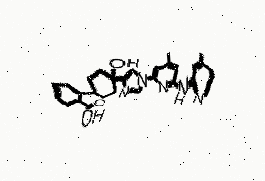 Cc1ccnc(Nc2cc(C)cc(-n3cnc(C4(O)CCC(c5ccccc5C(=O)O)CC4)c3)n2)c1